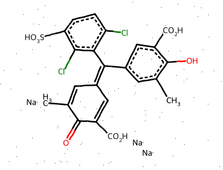 CC1=CC(=C(c2cc(C)c(O)c(C(=O)O)c2)c2c(Cl)ccc(S(=O)(=O)O)c2Cl)C=C(C(=O)O)C1=O.[Na].[Na].[Na]